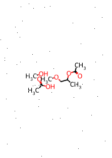 CC(=O)O.CO.COCC(C)OC(C)=O